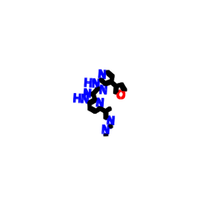 C=N/C=N\C=C(/C)c1ccc2[nH]nc(-c3nc4c(-c5ccoc5)ccnc4[nH]3)c2n1